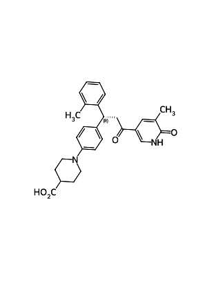 Cc1ccccc1[C@H](CC(=O)c1c[nH]c(=O)c(C)c1)c1ccc(N2CCC(C(=O)O)CC2)cc1